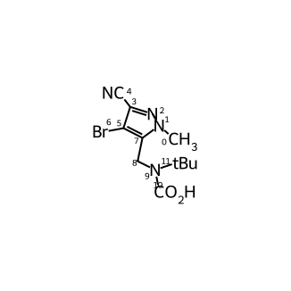 Cn1nc(C#N)c(Br)c1CN(C(=O)O)C(C)(C)C